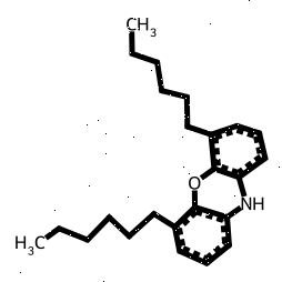 CCCCCCc1cccc2c1Oc1c(CCCCCC)cccc1N2